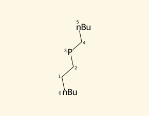 CCCCCC[P]CCCCC